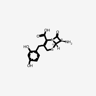 N[C@@H]1C(=O)N2C(C(=O)O)=C(Cc3ccc(O)cc3O)CS[C@@H]12